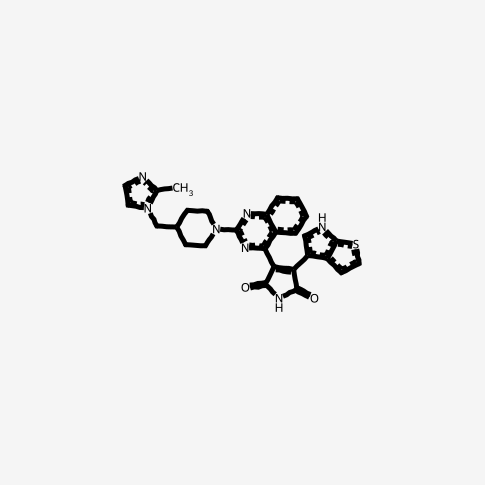 Cc1nccn1CC1CCN(c2nc(C3=C(c4c[nH]c5sccc45)C(=O)NC3=O)c3ccccc3n2)CC1